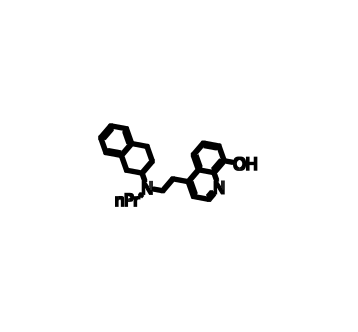 CCCN(CCc1ccnc2c(O)cccc12)C1CCc2ccccc2C1